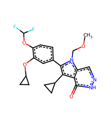 COCn1c(-c2ccc(OC(F)F)c(OC3CC3)c2)c(C2CC2)c2c(=O)[nH]ncc21